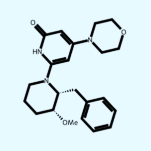 CO[C@@H]1CCCN(c2cc(N3CCOCC3)cc(=O)[nH]2)[C@@H]1Cc1ccccc1